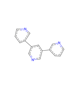 c1cncc(-c2cncc(-c3cccnc3)c2)c1